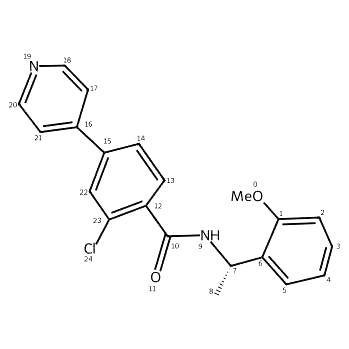 COc1ccccc1[C@H](C)NC(=O)c1ccc(-c2ccncc2)cc1Cl